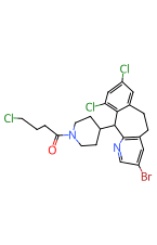 O=C(CCCCl)N1CCC(C2c3ncc(Br)cc3CCc3cc(Cl)cc(Cl)c32)CC1